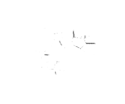 C=C1[C@@H](n2cc(C)c(=O)[nH]c2=O)C[C@H](O)[C@@]1(F)COP(=O)(O)OP(=O)(O)OP(=O)(O)O